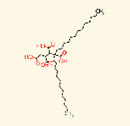 CCCCCCCCCCCCCC(CCCCCCCCCCCCC)(C(=O)O)C(C(=O)O)C(CC(=O)O)C(=O)O